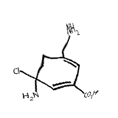 NC1=CC(C(=O)O)=CC(N)(Cl)C1